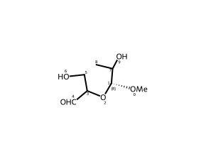 CO[C@H](OC(C=O)CO)C(C)O